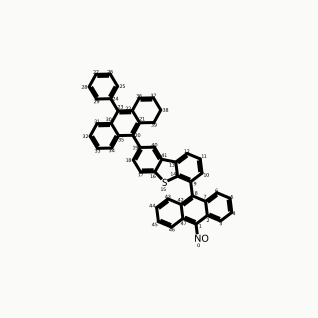 O=Nc1c2ccccc2c(-c2cccc3c2sc2ccc(-c4c5c(c(-c6ccccc6)c6ccccc46)C=CCC5)cc23)c2ccccc12